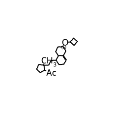 CC(=O)C1CCCC1(C)CCC1CCC=C2C[C@@H](OC3CCC3)CCC21